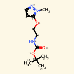 Cn1nccc1OCCNC(=O)OC(C)(C)C